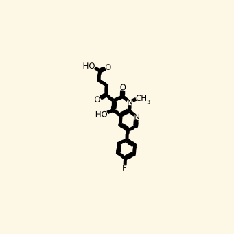 Cn1c(=O)c(C(=O)CCC(=O)O)c(O)c2cc(-c3ccc(F)cc3)cnc21